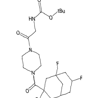 CCC1(C(=O)N2CCN(C(=O)CNC(=O)OC(C)(C)C)CC2)CC2CC(F)CC(F)(C2)C1